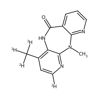 [2H]c1cc(C([2H])([2H])[2H])c2c(n1)N(C)c1ncccc1C(=O)N2